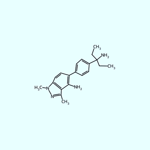 CCC(N)(CC)c1ccc(-c2ccc3c(c(C)nn3C)c2N)cc1